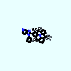 CC1(C)c2cccc3c2N2c4c1cccc4C(C)(C)c1cc(-c4nc5cnccc5n4-c4ccccc4)cc(c12)C3(C)C